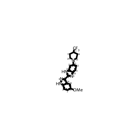 COc1ccc2[nH]nc(-c3nc4ccc(N5CCC(C(F)(F)F)CC5)cc4[nH]3)c2c1